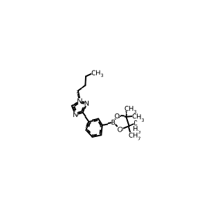 CCCCn1cnc(-c2cccc(B3OC(C)(C)C(C)(C)O3)c2)n1